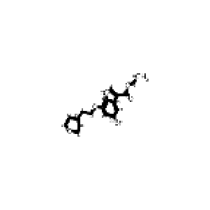 CCOC(=O)c1coc2c(OCCC3CCOCC3)cc(Br)cc12